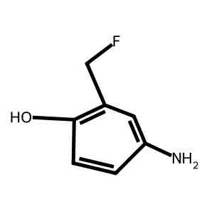 Nc1ccc(O)c(CF)c1